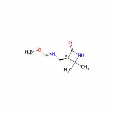 BOC=NC[C@H]1C(=O)NC1(C)C